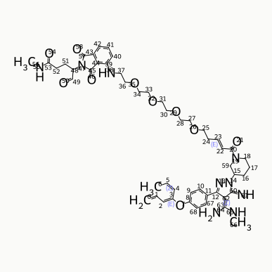 C=C/C=C(\C=C/C)Oc1ccc(C2=NN(C3CCCN(C(=O)/C=C/CCOCCOCCOCCOCCNc4cccc5c4C(=O)N(C(C=O)CCC(=O)NC)C5=O)C3)C(=N)/C2=C(/N)NC)cc1